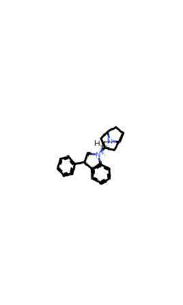 CN1C2CCC1CC([N+]1CC(c3ccccc3)c3ccccc31)C2